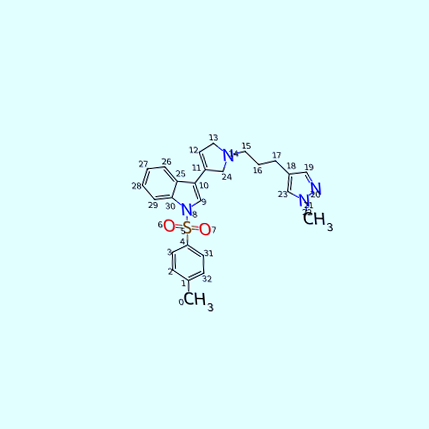 Cc1ccc(S(=O)(=O)n2cc(C3=CCN(CCCc4cnn(C)c4)C3)c3ccccc32)cc1